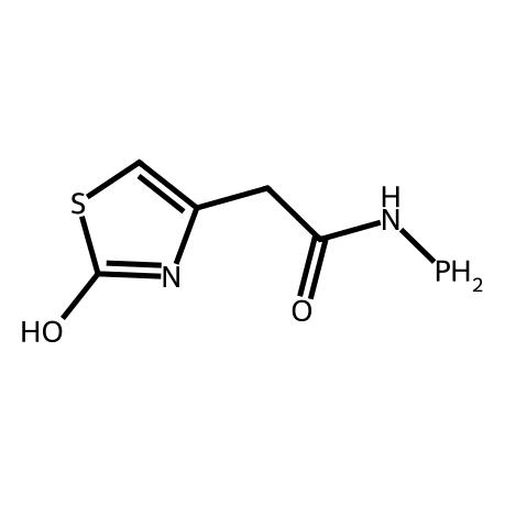 O=C(Cc1csc(O)n1)NP